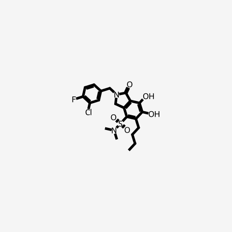 CCCCc1c(O)c(O)c2c(c1S(=O)(=O)N(C)C)CN(Cc1ccc(F)c(Cl)c1)C2=O